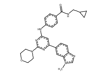 Cn1cnc2ccc(-c3cc(Nc4ccc(C(=O)NCC5CC5)cc4)nc(N4CCOCC4)n3)cc21